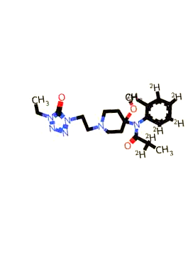 [2H]c1c([2H])c([2H])c(N(C(=O)C([2H])([2H])C)C2(OC)CCN(CCn3nnn(CC)c3=O)CC2)c([2H])c1[2H]